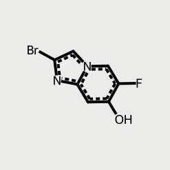 Oc1cc2nc(Br)cn2cc1F